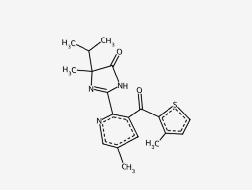 Cc1cnc(C2=NC(C)(C(C)C)C(=O)N2)c(C(=O)c2sccc2C)c1